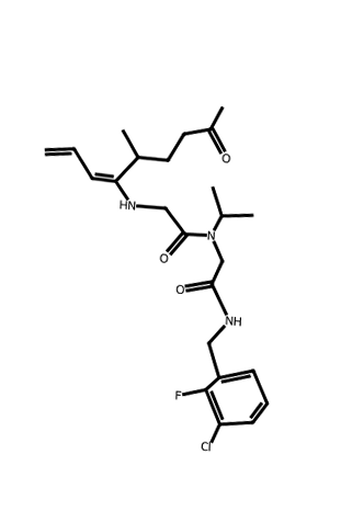 C=C/C=C(/NCC(=O)N(CC(=O)NCc1cccc(Cl)c1F)C(C)C)C(C)CCC(C)=O